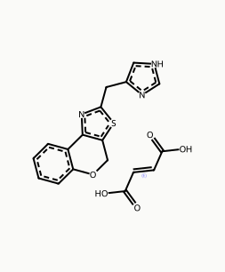 O=C(O)/C=C/C(=O)O.c1ccc2c(c1)OCc1sc(Cc3c[nH]cn3)nc1-2